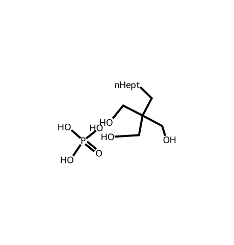 CCCCCCCCC(CO)(CO)CO.O=P(O)(O)O